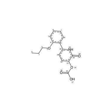 CCCOc1ccccc1-c1ccc(OC(=O)O)c(=O)[nH]1